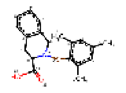 Cc1cc(C)c(SN2Cc3ccccc3CC2C(=O)O)c(C)c1